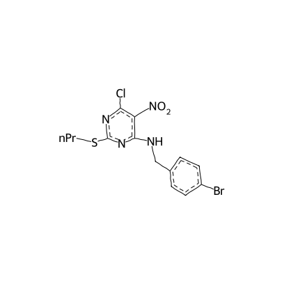 CCCSc1nc(Cl)c([N+](=O)[O-])c(NCc2ccc(Br)cc2)n1